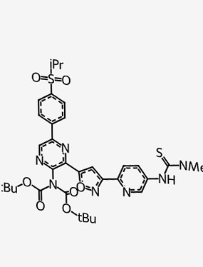 CNC(=S)Nc1ccc(-c2cc(-c3nc(-c4ccc(S(=O)(=O)C(C)C)cc4)cnc3N(C(=O)OC(C)(C)C)C(=O)OC(C)(C)C)on2)nc1